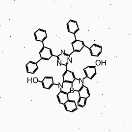 Oc1ccc(N2c3cc(-c4nc(-c5cc(-c6ccccc6)cc(-c6ccccc6)c5)nc(-c5cc(-c6ccccc6)cc(-c6ccccc6)c5)n4)cc4c3B(c3c2ccc2ccccc32)c2c(ccc3ccccc23)N4c2ccc(O)cc2)cc1